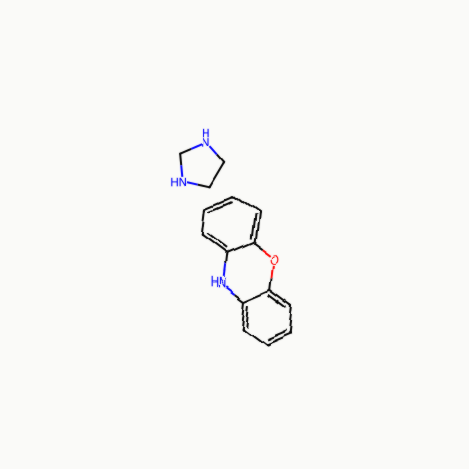 C1CNCN1.c1ccc2c(c1)Nc1ccccc1O2